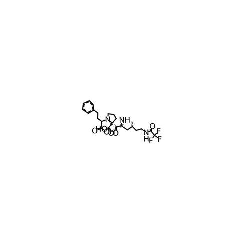 N[C@@H](CCCCNC(=O)C(F)(F)F)C(=O)[C@@]1(C(=O)O)CCCN1C(CCc1ccccc1)C(=O)O